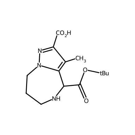 Cc1c(C(=O)O)nn2c1C(C(=O)OC(C)(C)C)NCCC2